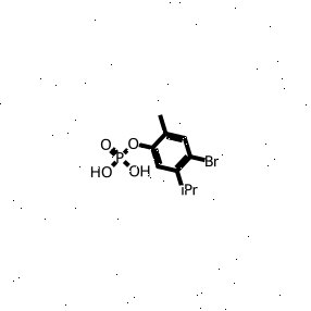 Cc1cc(Br)c(C(C)C)cc1OP(=O)(O)O